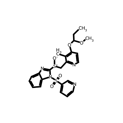 CCC(OC)Oc1ccnc(C[S+]([O-])c2nc3ccccc3n2S(=O)(=O)c2cccnc2)c1C